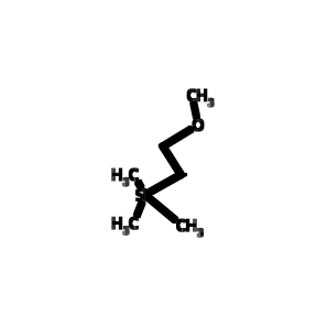 COC[CH][Si](C)(C)C